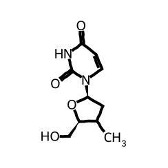 CC1C[C@H](n2ccc(=O)[nH]c2=O)O[C@@H]1CO